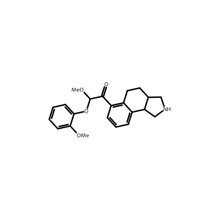 COc1ccccc1OC(OC)C(=O)c1cccc2c1CCC1CNCC21